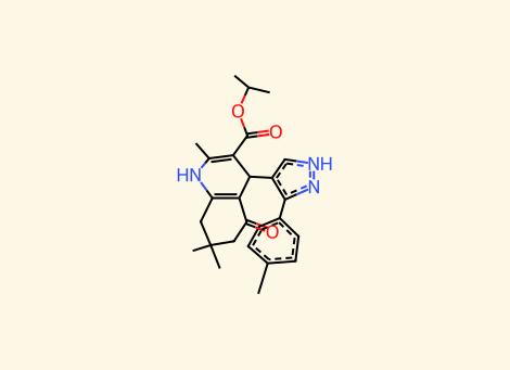 CC1=C(C(=O)OC(C)C)C(c2c[nH]nc2-c2ccc(C)cc2)C2=C(CC(C)(C)CC2=O)N1